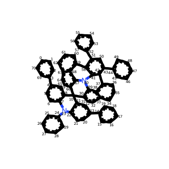 c1ccc(-c2ccc3c(c2)C2(c4cc(-c5ccccc5)ccc4N3c3ccccc3)c3ccc4cccc5c4c3N3c4c-5c(-c5ccccc5)cc(-c5ccccc5)c4-c4cccc5ccc2c3c45)cc1